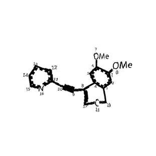 COc1cc2c(cc1OC)C(C#Cc1ccccn1)=CCC2